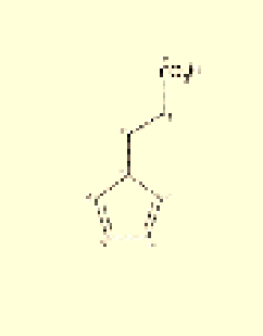 O=C(O)CCC1C=CC=C1